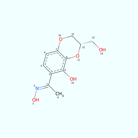 C/C(=N\O)c1ccc2c(c1O)O[C@@H](CO)CO2